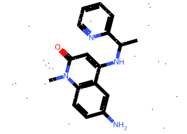 CC(Nc1cc(=O)n(C)c2ccc(N)cc12)c1ccccn1